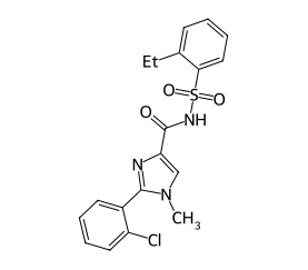 CCc1ccccc1S(=O)(=O)NC(=O)c1cn(C)c(-c2ccccc2Cl)n1